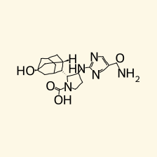 NC(=O)c1cnc(NC2CCN(C(=O)O)[C@@H]2C2C3CC4C[C@H]2C[C@@](O)(C4)C3)nc1